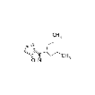 CCCC(CCC)c1noc2ccsc12